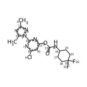 Cc1cc(C)n(-c2nc(Cl)cc(OC(=O)NC3CCC(F)(F)CC3)n2)n1